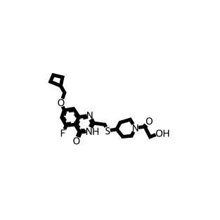 O=C(CO)N1CCC(SCc2nc3cc(OCC4CCC4)cc(F)c3c(=O)[nH]2)CC1